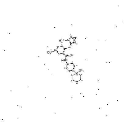 Cn1nnnc1Sc1ccc([N+](=O)[O-])cc1C(=O)Nc1ccc(C2(C)CCCCC2)cc1